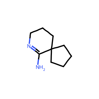 NC1=NCCCC12CCCC2